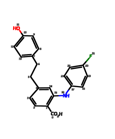 O=C(O)c1ccc(CCc2ccc(O)cc2)cc1Nc1ccc(F)cc1